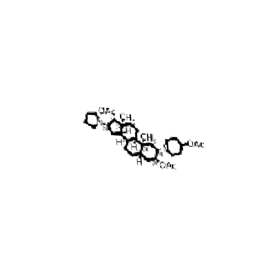 CC(=O)OC1CCN([C@H]2C[C@@]3(C)[C@@H](CC[C@@H]4[C@@H]3CC[C@@]3(C)[C@H]4C[C@H](N4CCCC4)[C@@H]3OC(C)=O)C[C@@H]2OC(C)=O)CC1